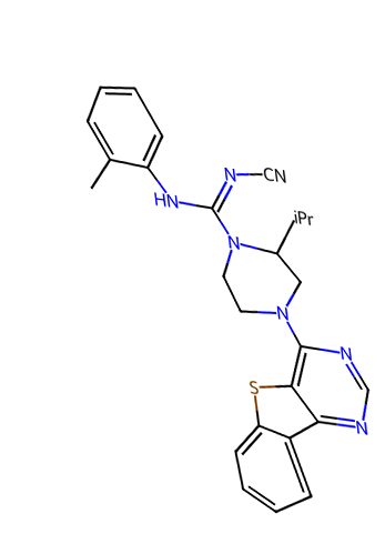 Cc1ccccc1N/C(=N/C#N)N1CCN(c2ncnc3c2sc2ccccc23)CC1C(C)C